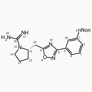 CCCCCCCCCc1cccc(-c2noc(C[C@@H]3CCCN3C(=N)N)n2)c1